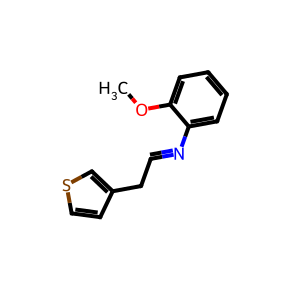 COc1ccccc1N=CCc1ccsc1